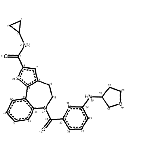 O=C(NC1CC1)c1cc2c(s1)-c1ccccc1N(C(=O)c1cccc(NC3CCOC3)n1)CC2